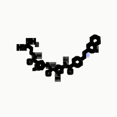 Cn1cc(NC(=O)c2cc(NC(=O)c3ccc(/C=C/c4cnc5ccccc5c4)cc3)c[nH]2)cc1C(=O)NCCC(=N)N